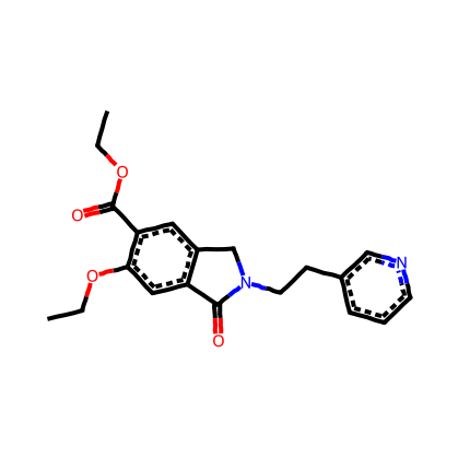 CCOC(=O)c1cc2c(cc1OCC)C(=O)N(CCc1cccnc1)C2